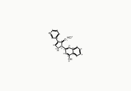 Cl.O=c1c(-c2cccnc2)c[nH]n1-c1nc(O)c2ccccc2n1